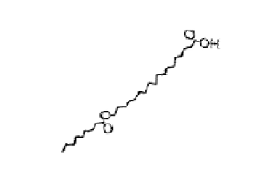 CCCCCCCCC(=O)OCCCCCCCCCCCCCCCCCC(=O)O